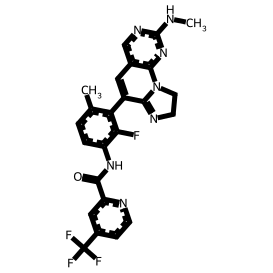 CNc1ncc2c(n1)N1CCN=C1C(c1c(C)ccc(NC(=O)c3cc(C(F)(F)F)ccn3)c1F)=C2